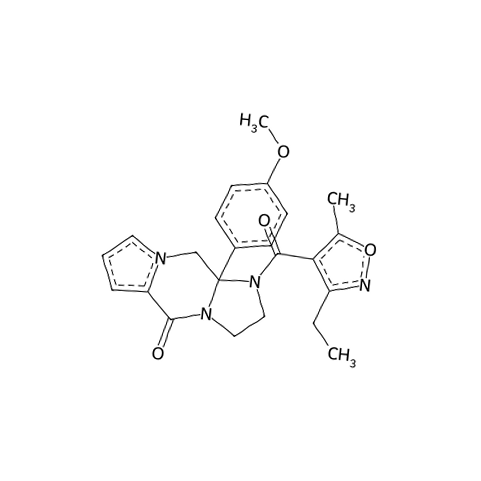 CCc1noc(C)c1C(=O)N1CCN2C(=O)c3cccn3CC12c1ccc(OC)cc1